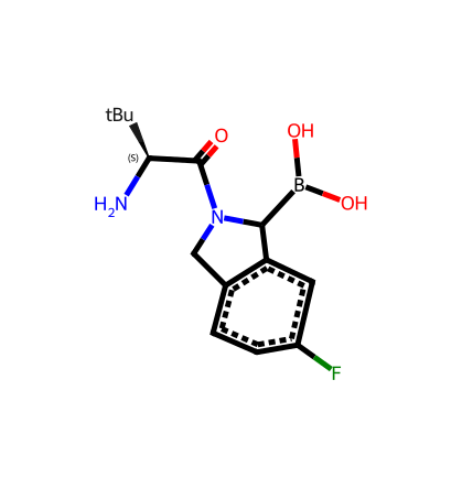 CC(C)(C)[C@H](N)C(=O)N1Cc2ccc(F)cc2C1B(O)O